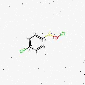 ClOSc1ccc(Cl)cc1